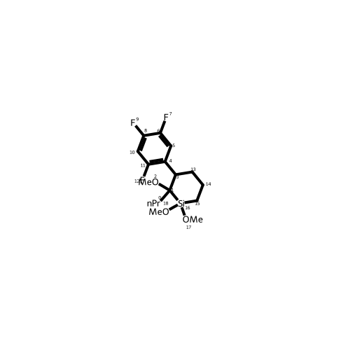 CCCC1(OC)C(c2cc(F)c(F)cc2F)CCC[Si]1(OC)OC